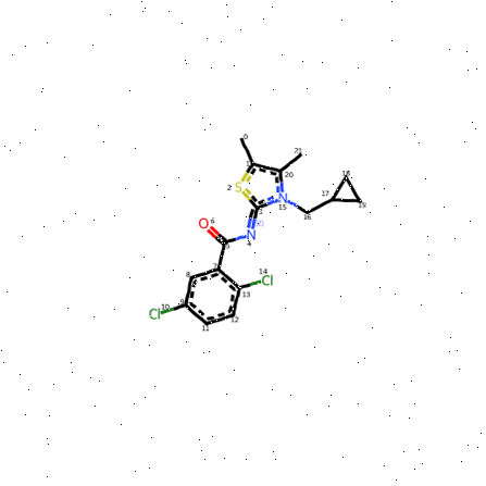 Cc1s/c(=N\C(=O)c2cc(Cl)ccc2Cl)n(CC2CC2)c1C